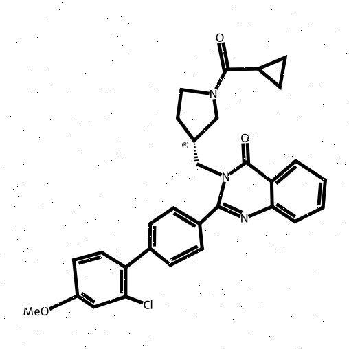 COc1ccc(-c2ccc(-c3nc4ccccc4c(=O)n3C[C@@H]3CCN(C(=O)C4CC4)C3)cc2)c(Cl)c1